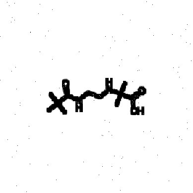 CC(C)(C)C(=O)NCCNC(C)(C)C(=O)O